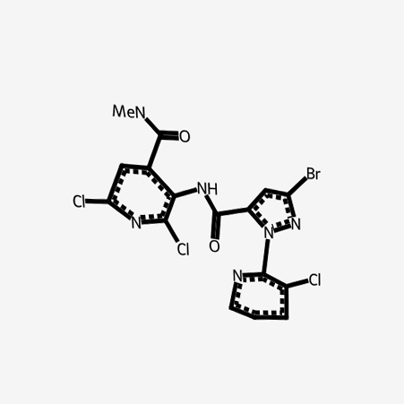 CNC(=O)c1cc(Cl)nc(Cl)c1NC(=O)c1cc(Br)nn1-c1ncccc1Cl